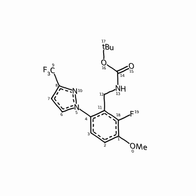 COc1ccc(-n2ccc(C(F)(F)F)n2)c(CNC(=O)OC(C)(C)C)c1F